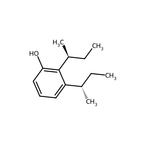 CC[C@H](C)c1cccc(O)c1[C@@H](C)CC